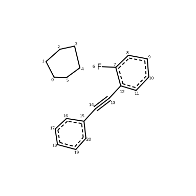 C1CCCCC1.Fc1ccccc1C#Cc1ccccc1